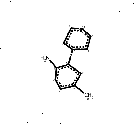 Cc1ccc(N)c(-c2ccccc2)c1